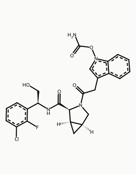 NC(=O)On1cc(CC(=O)N2C[C@H]3C[C@H]3[C@H]2C(=O)N[C@H](CO)c2cccc(Cl)c2F)c2ccccc21